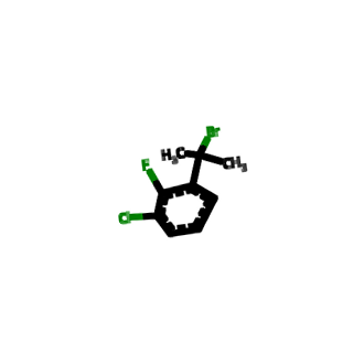 CC(C)(Br)c1cccc(Cl)c1F